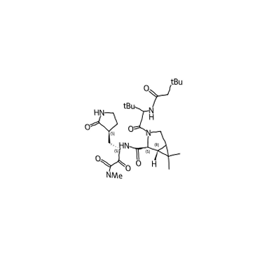 CNC(=O)C(=O)[C@H](C[C@@H]1CCNC1=O)NC(=O)[C@@H]1[C@@H]2C(CN1C(=O)C(NC(=O)CC(C)(C)C)C(C)(C)C)C2(C)C